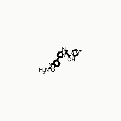 CN1CCN(C(O)c2cnc3ccc(-c4ccc5oc(N)nc5c4)cn23)CC1